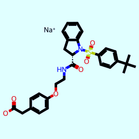 CC(C)(C)c1ccc(S(=O)(=O)N2c3ccccc3C[C@H]2C(=O)NCCOc2ccc(CC(=O)[O-])cc2)cc1.[Na+]